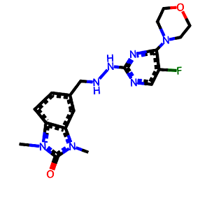 Cn1c(=O)n(C)c2cc(CNNc3ncc(F)c(N4CCOCC4)n3)ccc21